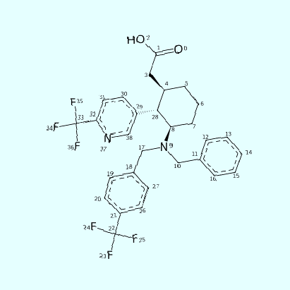 O=C(O)C[C@H]1CCC[C@@H](N(Cc2ccccc2)Cc2ccc(C(F)(F)F)cc2)[C@@H]1c1ccc(C(F)(F)F)nc1